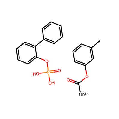 CNC(=O)Oc1cccc(C)c1.O=P(O)(O)Oc1ccccc1-c1ccccc1